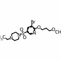 CCN1CCN(S(=O)(=O)c2cnc(OCCCOC)c(Br)c2)CC1